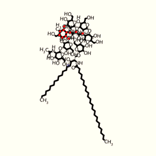 CCCCCCCCCCCCC/C=C/[C@@H](O)[C@H](CO[C@@H]1OC(CO)[C@@H](O[C@@H]2OC(CO)[C@H](O)[C@H](O[C@@H]3OC(CO)[C@@H](O)[C@H](O[C@@H]4OC(CO)[C@H](O)[C@H](O[C@@H]5OC(CO)[C@@H](O)[C@H](O[C@@H]6OC(CO)[C@H](O)[C@H](O[C@H]7OC(CO)[C@H](O)[C@H](O)C7NC(C)=O)C6O[C@H]6OC(C)[C@@H](O)C(O)[C@@H]6O)C5NC(C)=O)C4O)C3NC(C)=O)C2O)[C@H](O)C1O)NC(=O)CCCCCCCCCCCCCCCCCCCCCCCCC